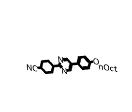 CCCCCCCCOc1ccc(-c2cnc(C3CCC(C#N)CC3)nc2)cc1